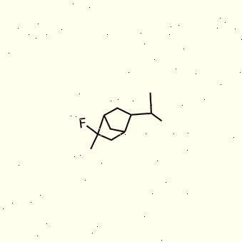 CC(C)C1CC2CC1CC2(C)F